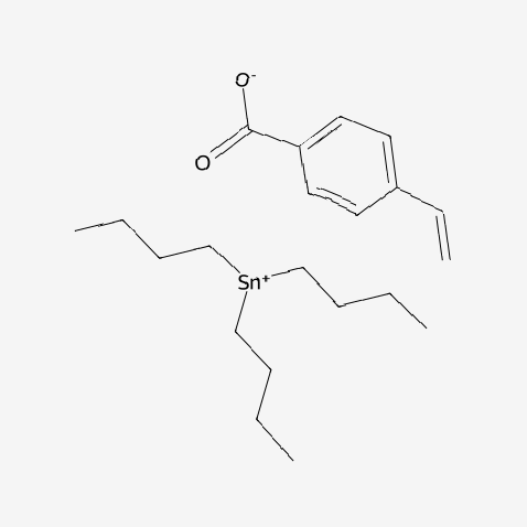 C=Cc1ccc(C(=O)[O-])cc1.CCC[CH2][Sn+]([CH2]CCC)[CH2]CCC